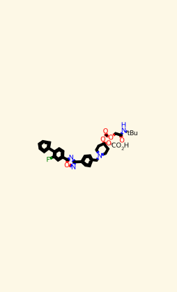 CC(C)(C)NC(=O)COC(=O)OC1(OC(=O)O)CCN(Cc2ccc(-c3noc(-c4ccc(-c5ccccc5)c(F)c4)n3)cc2)CC1